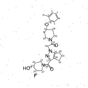 Cc1ccccc1OC1CCN(C(=O)Cn2nc(C(=O)N3CC[C@@H](O)[C@@H](F)C3)c3c2CCC3)CC1